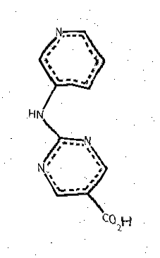 O=C(O)c1cnc(Nc2cccnc2)nc1